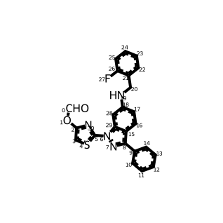 O=COc1csc(-n2nc(-c3ccccc3)c3ccc(NCc4ccccc4F)cc32)n1